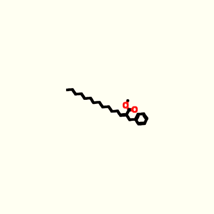 CCCCCCCCCCCCC=C(Cc1ccccc1)C(=O)OC